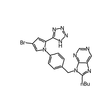 CCCCc1nc2cncnc2n1Cc1ccc(-n2cc(Br)cc2-c2nnn[nH]2)cc1